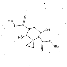 CC(C)(C)OC(=O)N1CC(O)N(C(=O)OC(C)(C)C)C2(CC2)C1O